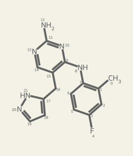 Cc1cc(F)ccc1Nc1nc(N)ncc1Cc1ccn[nH]1